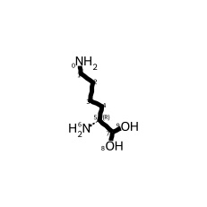 NCCCC[C@@H](N)C(O)O